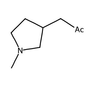 CC(=O)CC1CCN(C)C1